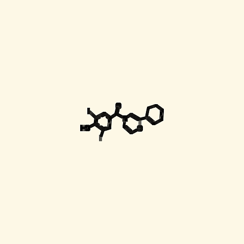 O=C(c1cc(I)c(O)c(I)c1)N1C=COC(C2=CC=CCC2)=C1